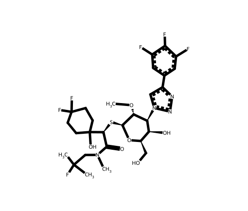 CO[C@@H]1[C@@H](n2cc(-c3cc(F)c(F)c(F)c3)nn2)[C@@H](O)[C@@H](CO)O[C@H]1S[C@@H](C(=O)N(C)CC(C)(C)F)C1(O)CCC(F)(F)CC1